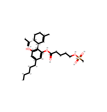 C=C(C)[C@@H]1CCC(C)=C[C@H]1c1c(O)cc(CCCCC)cc1OC(=O)CCCCOS(C)(=O)=O